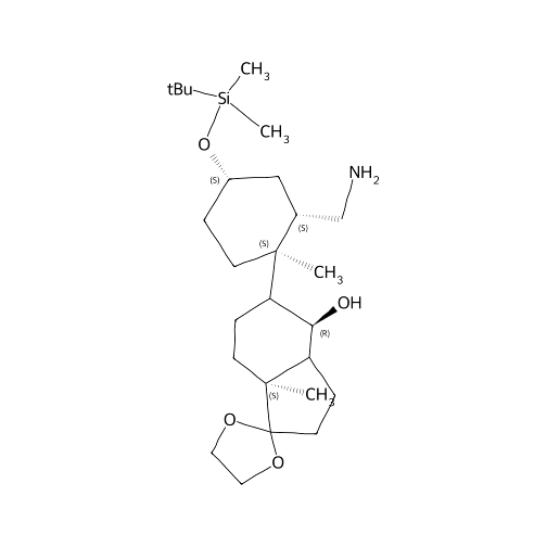 CC(C)(C)[Si](C)(C)O[C@H]1CC[C@](C)(C2CC[C@@]3(C)C(CCC34OCCO4)[C@@H]2O)[C@@H](CN)C1